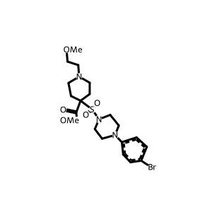 COCCN1CCC(C(=O)OC)(S(=O)(=O)N2CCN(c3ccc(Br)cc3)CC2)CC1